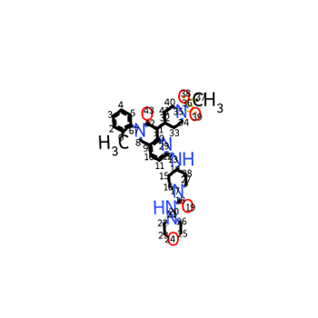 Cc1ccccc1N1Cc2ccc(NC3CCN(C(=O)NN4CCOCC4)CC3)nc2C(C2CCN(S(C)(=O)=O)CC2)C1=O